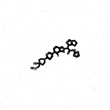 O=C(O)CC1(O)CCN(c2ccc(-c3ccc4cn(C(C(=O)Nc5nccs5)c5ncn6c5CCC6)nc4c3F)cn2)CC1